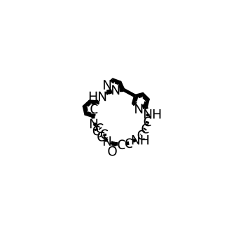 O=C1CCNCCCNc2ccc(cn2)-c2ccnc(n2)Nc2cccc(c2)N2CCN1CC2